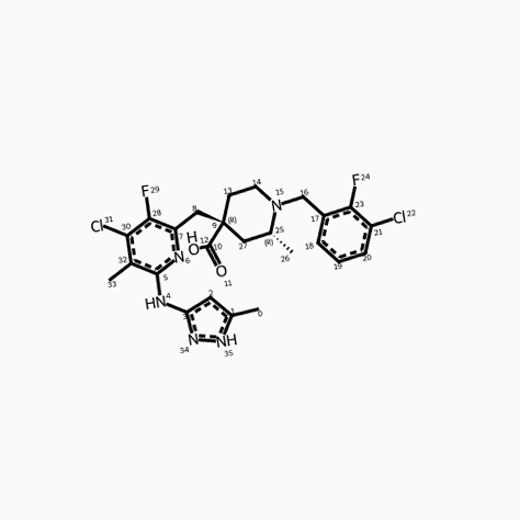 Cc1cc(Nc2nc(C[C@@]3(C(=O)O)CCN(Cc4cccc(Cl)c4F)[C@H](C)C3)c(F)c(Cl)c2C)n[nH]1